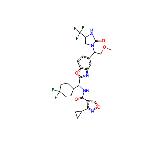 COCC(c1ccc2oc(C(NC(=O)c3conc3C3CC3)C3CCC(F)(F)CC3)nc2c1)N1CC(C(F)(F)F)NC1=O